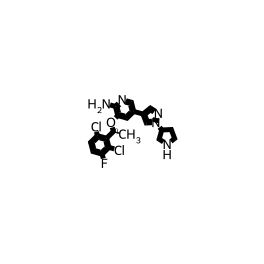 C[C@@H](Oc1cc(-c2cnn(C3CCNC3)c2)cnc1N)c1c(Cl)ccc(F)c1Cl